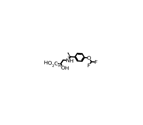 C[C@H](NC[C@@H](O)C(=O)O)c1ccc(OC(F)F)cc1